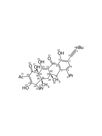 CCCCC#Cc1cc(C(C)C)c2c(c1O)C(=O)C1=C(O)[C@@]3(O)C(=O)C(C(C)=O)=C(O)C(C(C)C)[C@@]3(C)C[C@@]1(C)C2